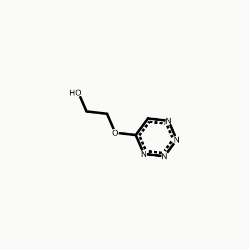 OCCOc1cnnnn1